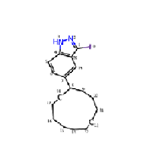 Ic1n[nH]c2ccc(C3CCCCCCCCCC3)cc12